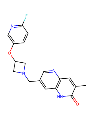 Cc1cc2ncc(CN3CC(Oc4ccc(F)nc4)C3)cc2[nH]c1=O